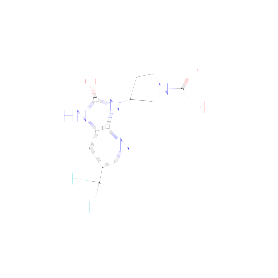 O=C(O)N1CCC(n2c(=O)[nH]c3cc(C(F)(F)F)cnc32)C1